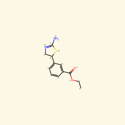 CCOC(=O)c1cccc(C2CN=C(N)S2)c1